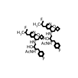 CC(=O)N[C@@H](Cc1ccc(F)cc1)[C@H](O)CN[C@H]1CC2(CCC2)Oc2ncc(C[C@@H](C)CF)cc21.CC(=O)N[C@@H](Cc1ccc(F)cc1)[C@H](O)CN[C@H]1CC2(CCC2)Oc2ncc(C[C@H](C)CF)cc21